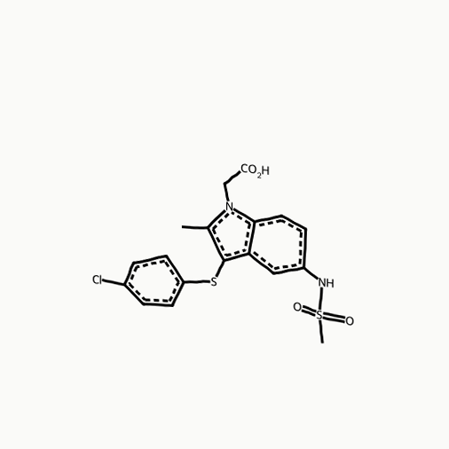 Cc1c(Sc2ccc(Cl)cc2)c2cc(NS(C)(=O)=O)ccc2n1CC(=O)O